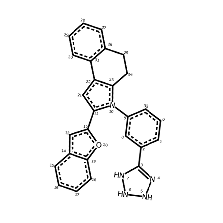 c1cc(C2=NNNN2)cc(-n2c(-c3cc4ccccc4o3)cc3c2CCc2ccccc2-3)c1